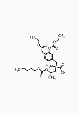 CCCCCOC(=O)O[C@@H](C)CC(N)(Cc1ccc(OC(=O)OCC)c(OC(=O)OCC)c1)C(=O)O